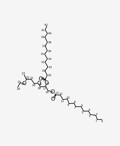 CCCCCCCCCCCCCC(=O)OCC(COCCC(C)OCC)OC(=O)CCCCCCCCCCCCC